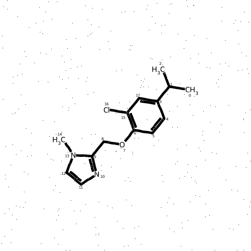 CC(C)c1ccc(OCc2nccn2C)c(Cl)c1